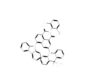 CC(C)c1cccc(C(C)C)c1N1C(=O)c2ccc(-n3c4ccccc4c4ccccc43)c3cc(N4c5ccccc5C(C)(C)c5ccccc54)cc(c23)C1=O